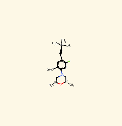 C[C@@H]1CN(c2cc(F)c(C#C[Si](C)(C)C)cc2C=O)C[C@H](C)O1